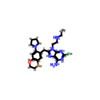 CC(C)CNCCn1c(Cc2cc3c(cc2N2CCCC2)OCCS3)nc2c(N)nc(F)nc21